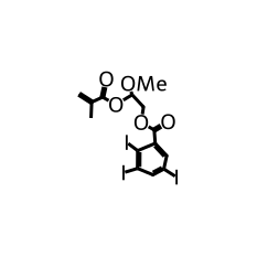 C=C(C)C(=O)OC(COC(=O)c1cc(I)cc(I)c1I)OC